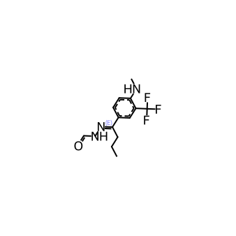 CCC/C(=N\NC=O)c1ccc(NC)c(C(F)(F)F)c1